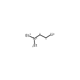 [Li][CH2]CN(CC)CC